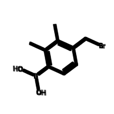 Cc1c(CBr)ccc(B(O)O)c1C